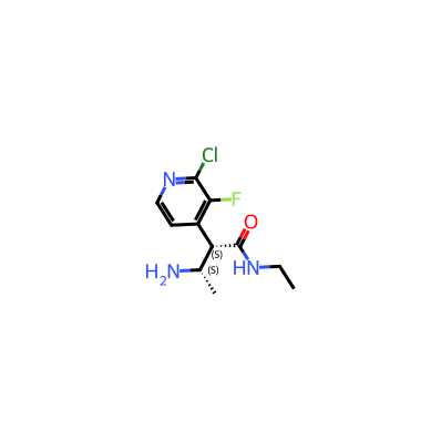 CCNC(=O)[C@@H](c1ccnc(Cl)c1F)[C@H](C)N